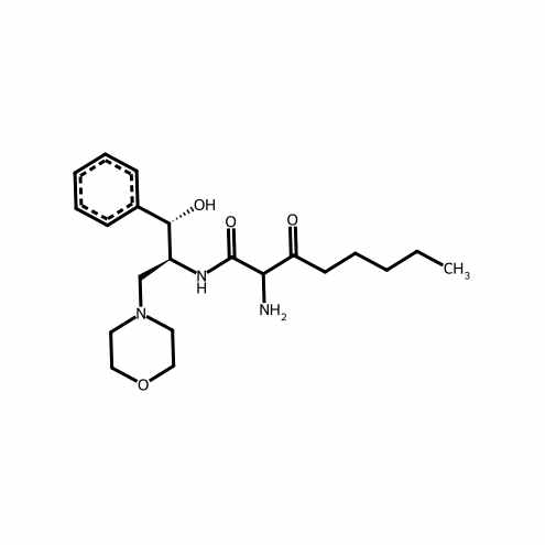 CCCCCC(=O)C(N)C(=O)N[C@@H](CN1CCOCC1)[C@@H](O)c1ccccc1